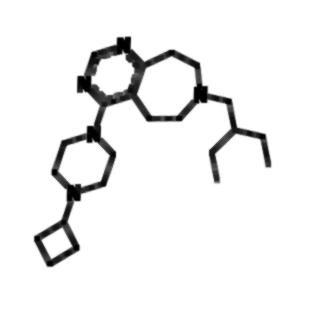 CCC(CC)CN1CCc2ncnc(N3CCN(C4CCC4)CC3)c2CC1